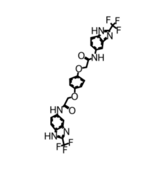 O=C(COc1ccc(OCC(=O)Nc2ccc3[nH]c(C(F)(F)F)nc3c2)cc1)Nc1ccc2[nH]c(C(F)(F)F)nc2c1